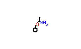 C#C[C@H](N)COCc1ccccc1